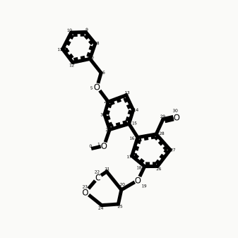 COc1cc(OCc2ccccc2)ccc1-c1cc(OC2CCOCC2)ccc1C=O